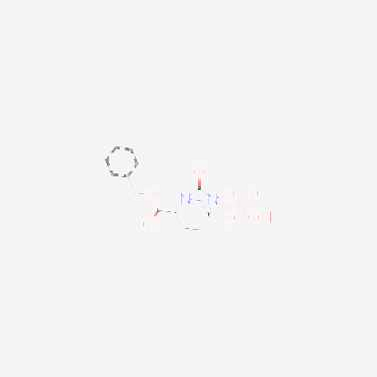 O=C(OCc1ccccc1)C1CCC2CN1C(=O)N2OS(=O)(=O)O